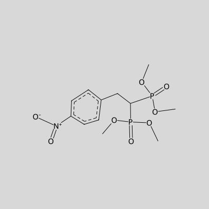 COP(=O)(OC)C(Cc1ccc([N+](=O)[O-])cc1)P(=O)(OC)OC